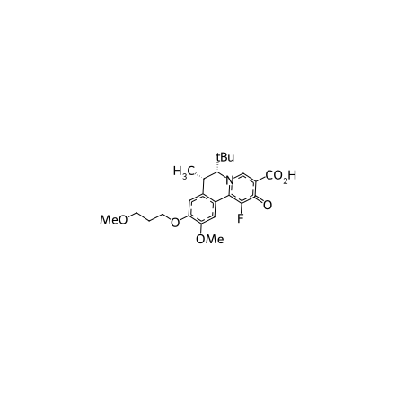 COCCCOc1cc2c(cc1OC)-c1c(F)c(=O)c(C(=O)O)cn1[C@@H](C(C)(C)C)[C@H]2C